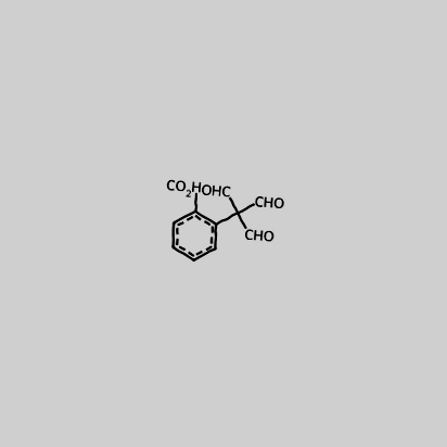 O=CC(C=O)(C=O)c1ccccc1C(=O)O